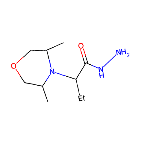 CCC(C(=O)NN)N1C(C)COCC1C